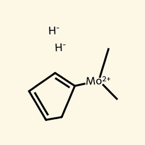 [CH3][Mo+2]([CH3])[C]1=CC=CC1.[H-].[H-]